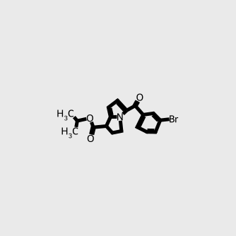 CC(C)OC(=O)C1CCn2c(C(=O)c3cccc(Br)c3)ccc21